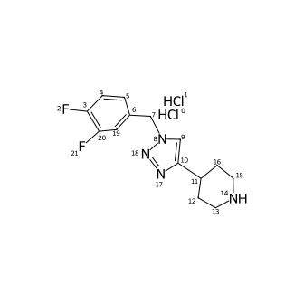 Cl.Cl.Fc1ccc(Cn2cc(C3CCNCC3)nn2)cc1F